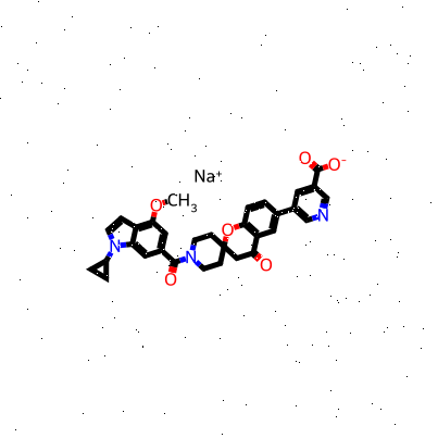 COc1cc(C(=O)N2CCC3(CC2)CC(=O)c2cc(-c4cncc(C(=O)[O-])c4)ccc2O3)cc2c1ccn2C1CC1.[Na+]